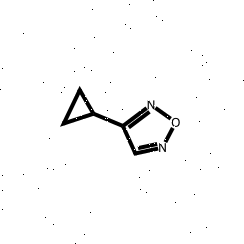 c1nonc1C1CC1